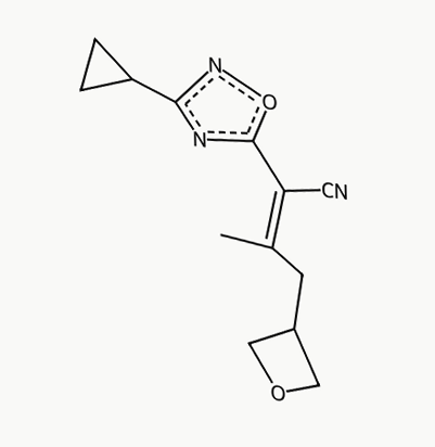 C/C(CC1COC1)=C(/C#N)c1nc(C2CC2)no1